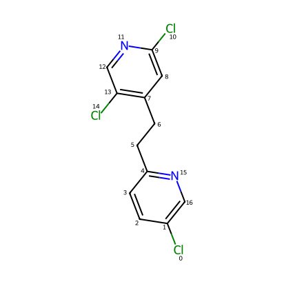 Clc1ccc(CCc2cc(Cl)ncc2Cl)nc1